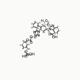 CCOc1nc2cccc(C(=O)O)c2n1Cc1ccc(-c2ccccc2-c2nnn(COC(=O)Oc3cccc(CON(O)O)c3)n2)cc1